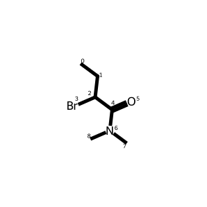 CCC(Br)C(=O)N(C)C